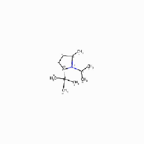 CC(C)N1C(C)CC[C@H]1C(C)(C)C